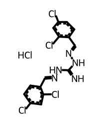 Cl.N=C(NN=Cc1ccc(Cl)cc1Cl)NN=Cc1ccc(Cl)cc1Cl